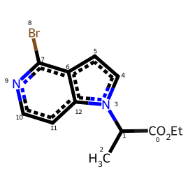 CCOC(=O)C(C)n1ccc2c(Br)nccc21